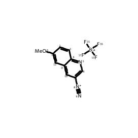 COc1ccc2ncc([N+]#N)cc2c1.F[B-](F)(F)F